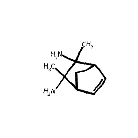 CC1(N)C2C=CC(C2)C1(C)N